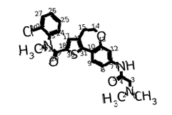 CN(C)CC(=O)Nc1ccc2c(c1)OCCc1cc(C(=O)N(C)c3ccccc3Cl)sc1-2